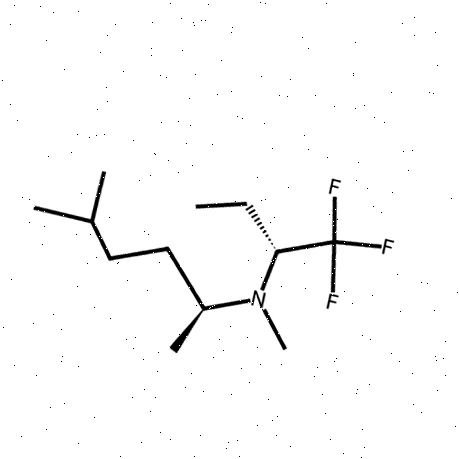 CC[C@@H](N(C)[C@@H](C)CCC(C)C)C(F)(F)F